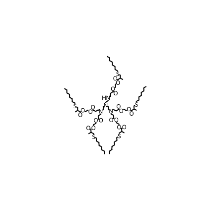 CCCCCCCCSCC(C)C(=O)OCCOC(=O)CCNCCN(CCN(CCC(=O)OCCOC(=O)C(C)CSCCCCCCCC)CCC(=O)OCCOC(=O)C(C)CSCCCCCCCC)CCN(CCC(=O)OCCOC(=O)C(C)CSCCCCCCCC)CCC(=O)OCCOC(=O)C(C)CSCCCCCCCC